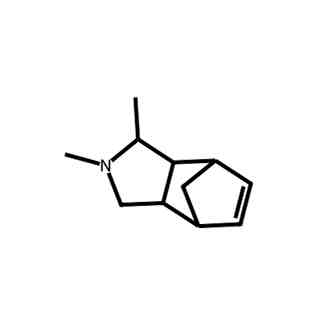 CC1C2C3C=CC(C3)C2CN1C